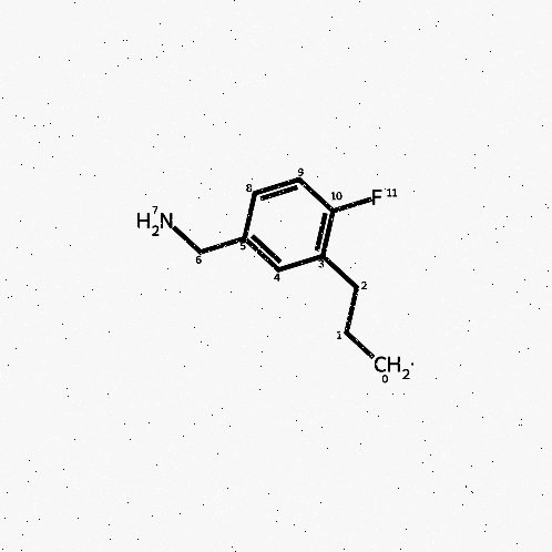 [CH2]CCc1cc(CN)ccc1F